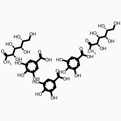 CC(=O)[C@H](O)[C@@H](O)[C@H](O)[C@H](O)CO.CC(=O)[C@H](O)[C@@H](O)[C@H](O)[C@H](O)CO.O=C(O)c1cc(O)c(O)c(O)c1.O=C(O)c1cc(O)c(O)c(O)c1.O=C(O)c1cc(O)c(O)c(O)c1